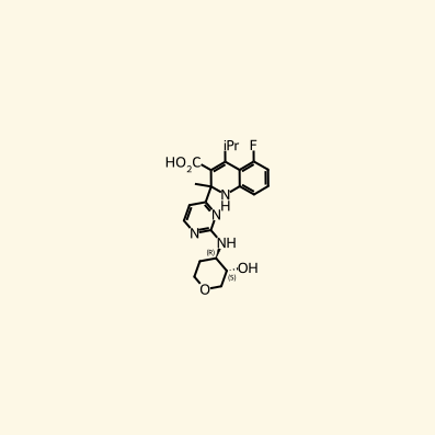 CC(C)C1=C(C(=O)O)C(C)(c2ccnc(N[C@@H]3CCOC[C@H]3O)n2)Nc2cccc(F)c21